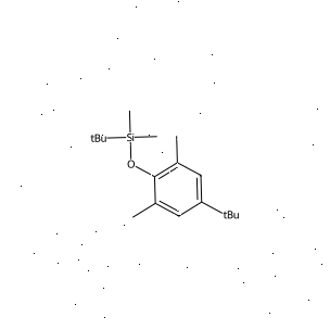 Cc1cc(C(C)(C)C)cc(C)c1O[Si](C)(C)C(C)(C)C